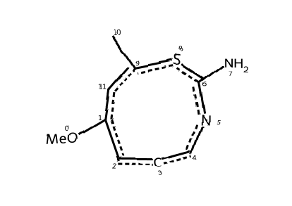 COc1cccnc(N)sc(C)c1